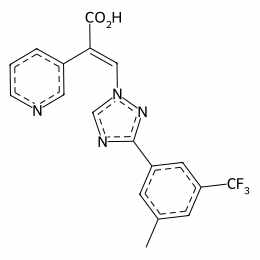 Cc1cc(-c2ncn(/C=C(/C(=O)O)c3cccnc3)n2)cc(C(F)(F)F)c1